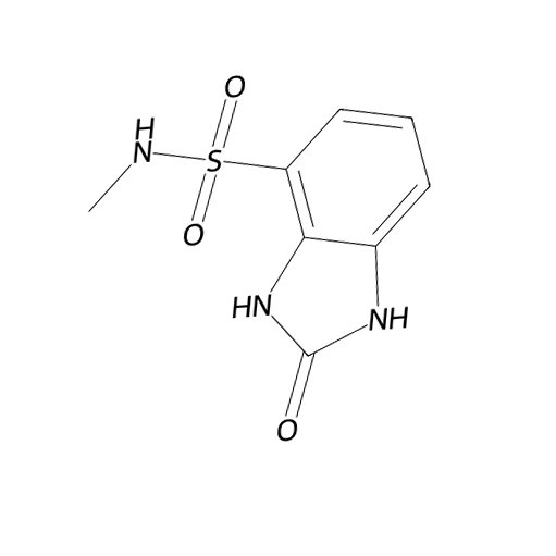 CNS(=O)(=O)c1cccc2[nH]c(=O)[nH]c12